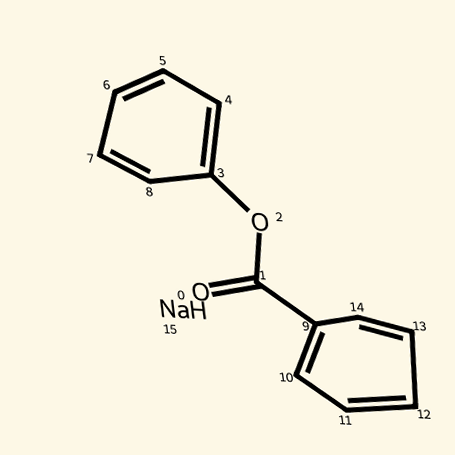 O=C(Oc1ccccc1)c1ccccc1.[NaH]